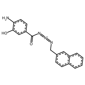 Nc1ccc(C(=O)N=[N+]=NCc2ccc3ccccc3c2)cc1O